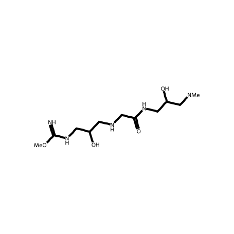 CNCC(O)CNC(=O)CNCC(O)CNC(=N)OC